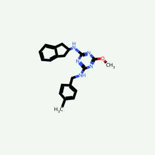 COc1nc(NCc2ccc(C)cc2)nc(NC2Cc3ccccc3C2)n1